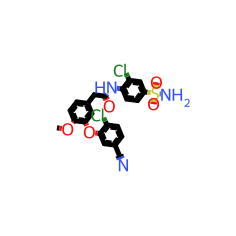 COc1ccc(CC(=O)Nc2ccc(S(N)(=O)=O)cc2Cl)cc1Oc1cc(C#N)ccc1Cl